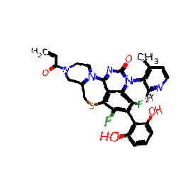 C=CC(=O)N1CCN2c3nc(=O)n(-c4c(C)ccnc4C(C)C)c4c(F)c(-c5c(O)cccc5O)c(F)c(c34)SCC2C1